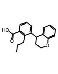 CCCc1c(C(=O)O)cccc1C1CCOc2ccccc21